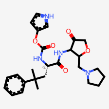 CC(C)(C[C@H](NC(=O)Oc1cc[nH]c1)C(=O)NC1C(=O)COC1CN1CCCC1)c1ccccc1